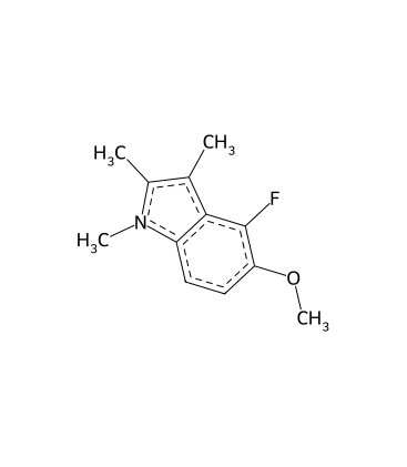 COc1ccc2c(c(C)c(C)n2C)c1F